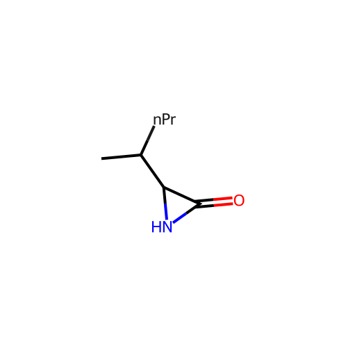 CCCC(C)C1NC1=O